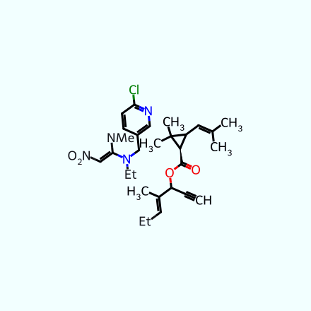 C#CC(OC(=O)[C@@H]1C(C=C(C)C)C1(C)C)/C(C)=C/CC.CCN(Cc1ccc(Cl)nc1)/C(=C/[N+](=O)[O-])NC